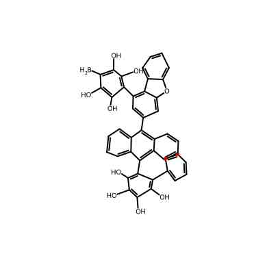 Bc1c(O)c(O)c(-c2cc(-c3c4ccccc4c(-c4c(O)c(O)c(O)c(O)c4-c4ccccc4)c4ccccc34)cc3oc4ccccc4c23)c(O)c1O